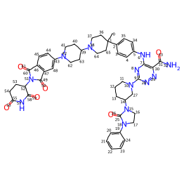 CC1(c2ccc(Nc3nc(N4CCCC(N5CCN(c6ccccc6)C5=O)C4)nnc3C(N)=O)cc2)CCN(C2CCN(c3ccc4c(c3)C(=O)N(C3CCC(=O)NC3=O)C4=O)CC2)CC1